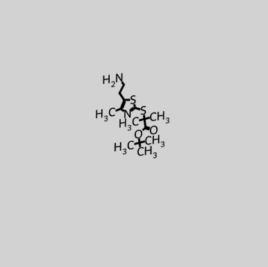 Cc1nc(SC(C)(C)C(=O)OC(C)(C)C)sc1CCN